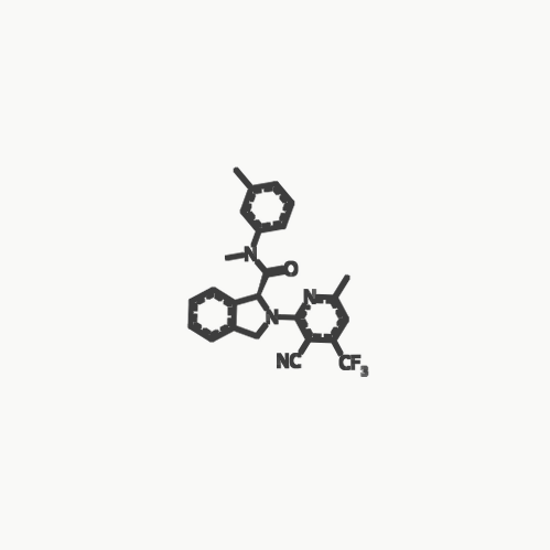 Cc1cccc(N(C)C(=O)[C@@H]2c3ccccc3CN2c2nc(C)cc(C(F)(F)F)c2C#N)c1